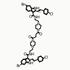 O=C(NCCN1CCN(C(=O)CCC(=O)N2CCN(CCNC(=O)c3c(/C=C/c4ccc(Cl)cc4)[nH]c4cc(Br)ccc34)CC2)CC1)c1c(/C=C/c2ccc(Cl)cc2)[nH]c2cc(Br)ccc12